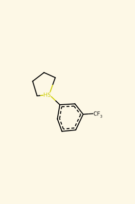 FC(F)(F)c1cccc([SH]2CCCC2)c1